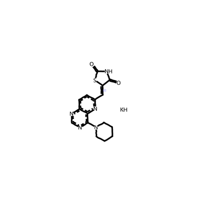 O=C1NC(=O)/C(=C/c2ccc3ncnc(N4CCCCC4)c3n2)S1.[KH]